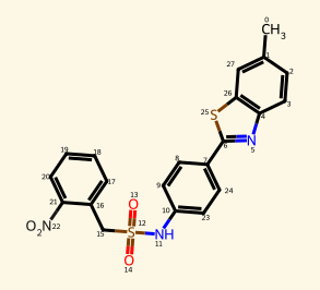 Cc1ccc2nc(-c3ccc(NS(=O)(=O)Cc4ccccc4[N+](=O)[O-])cc3)sc2c1